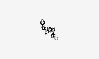 CCn1cc(-n2cnc3cnc(Nc4cnn(C5CCOCC5)c4)nc32)cn1